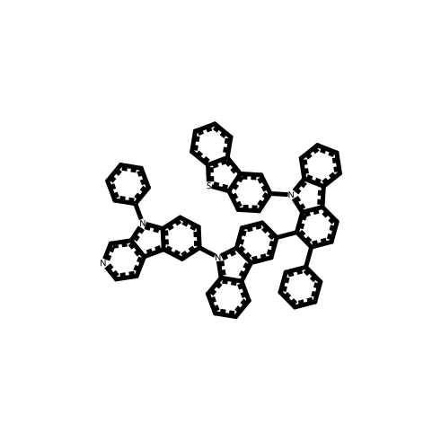 c1ccc(-c2ccc3c4ccccc4n(-c4ccc5sc6ccccc6c5c4)c3c2-c2ccc3c(c2)c2ccccc2n3-c2ccc3c(c2)c2ccncc2n3-c2ccccc2)cc1